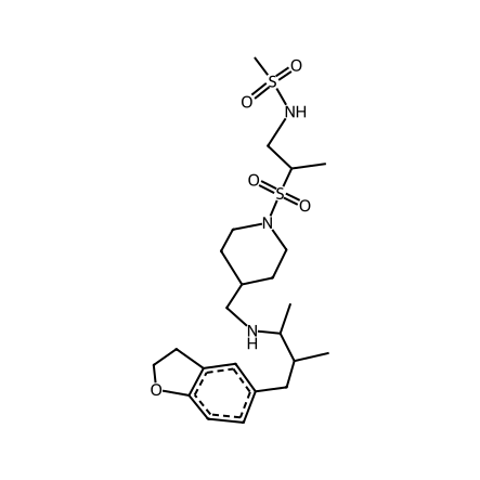 CC(Cc1ccc2c(c1)CCO2)C(C)NCC1CCN(S(=O)(=O)C(C)CNS(C)(=O)=O)CC1